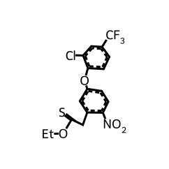 CCOC(=S)Cc1cc(Oc2ccc(C(F)(F)F)cc2Cl)ccc1[N+](=O)[O-]